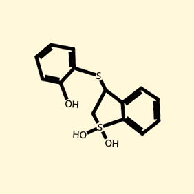 Oc1ccccc1SC1CS(O)(O)c2ccccc21